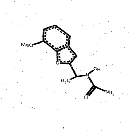 COc1cccc2cc(C(C)N(O)C(N)=O)oc12